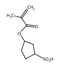 C=C(C)C(=O)OC1CCC(S(=O)(=O)O)C1